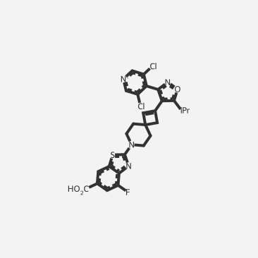 CC(C)c1onc(-c2c(Cl)cncc2Cl)c1C1=CC2(CCN(c3nc4c(F)cc(C(=O)O)cc4s3)CC2)C1